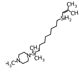 CC(C)=C[SiH2]CCCCCCCC[Si](C)(C)N1CCN(C)CC1